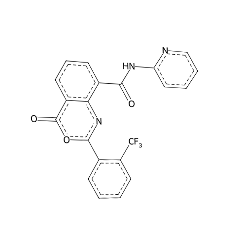 O=C(Nc1ccccn1)c1cccc2c(=O)oc(-c3ccccc3C(F)(F)F)nc12